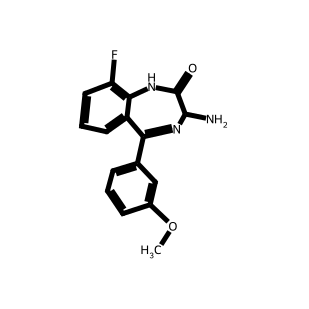 COc1cccc(C2=NC(N)C(=O)Nc3c(F)cccc32)c1